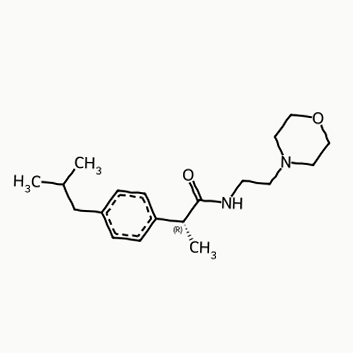 CC(C)Cc1ccc([C@@H](C)C(=O)NCCN2CCOCC2)cc1